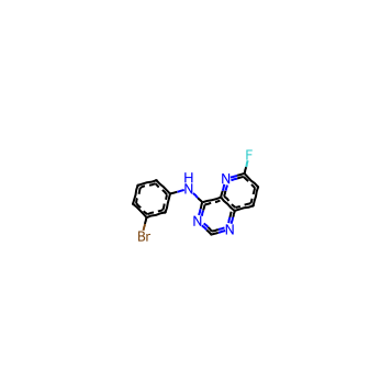 Fc1ccc2ncnc(Nc3cccc(Br)c3)c2n1